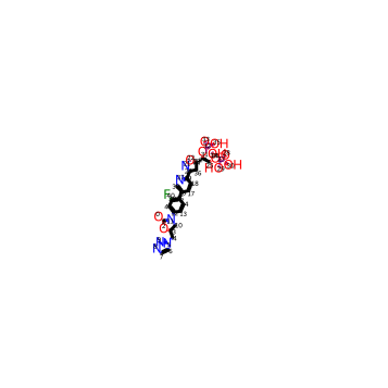 O=C1OC(Cn2ccnn2)CN1c1ccc(-c2ccc(C3=NO[C@@H](C(COP(=O)(O)O)OP(=O)(O)O)C3)nc2)c(F)c1